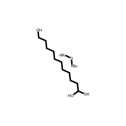 CCCCOCCCC.OCCCCCCCCCCC(O)O